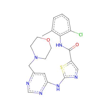 Cc1cccc(Cl)c1NC(=O)c1cnc(Nc2cc(CN3CCOCC3)ncn2)s1